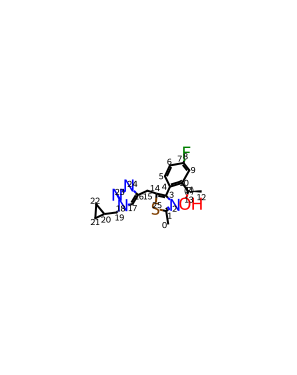 Cc1nc(-c2ccc(F)cc2[C@@H](C)O)c(Cc2cn(CC3CC3)nn2)s1